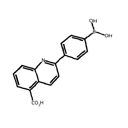 O=C(O)c1cccc2nc(-c3ccc(B(O)O)cc3)ccc12